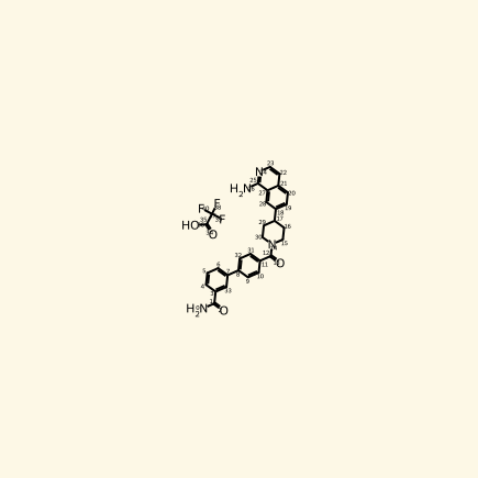 NC(=O)c1cccc(-c2ccc(C(=O)N3CCC(c4ccc5ccnc(N)c5c4)CC3)cc2)c1.O=C(O)C(F)(F)F